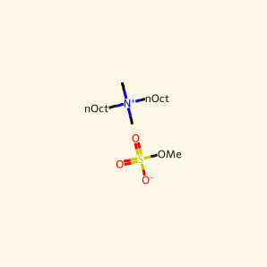 CCCCCCCC[N+](C)(C)CCCCCCCC.COS(=O)(=O)[O-]